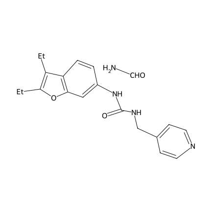 CCc1oc2cc(NC(=O)NCc3ccncc3)ccc2c1CC.NC=O